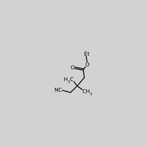 CCOC(=O)CC(C)(C)CC#N